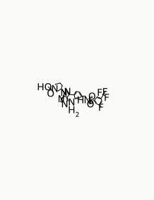 Nc1ncnc2c1c(-c1ccc(CNS(=O)(=O)c3cc(F)cc(C(F)(F)F)c3)cc1)nn2[C@@H]1CCCN(C(=O)O)C1